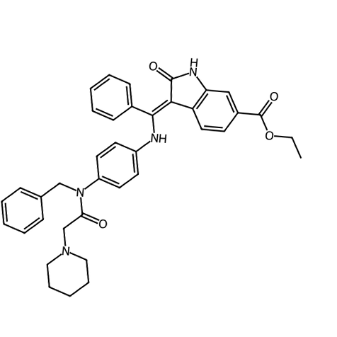 CCOC(=O)c1ccc2c(c1)NC(=O)C2=C(Nc1ccc(N(Cc2ccccc2)C(=O)CN2CCCCC2)cc1)c1ccccc1